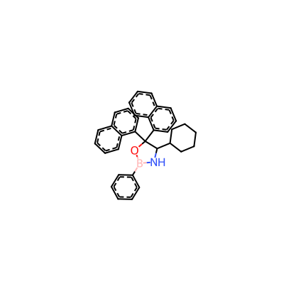 c1ccc(B2NC(C3CCCCC3)C(c3cccc4ccccc34)(c3cccc4ccccc34)O2)cc1